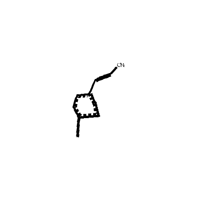 Cc1ccc(/C=C/C#N)cc1